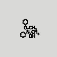 CC(O)N(c1ccccc1)C(C)Oc1ccccc1